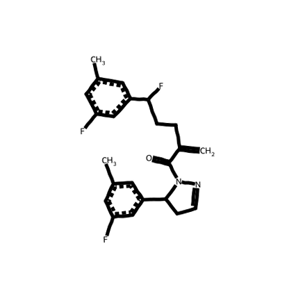 C=C(CCC(F)c1cc(C)cc(F)c1)C(=O)N1N=CCC1c1cc(C)cc(F)c1